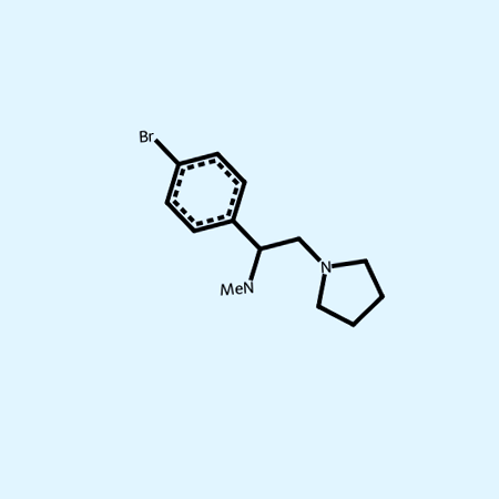 CNC(CN1CCCC1)c1ccc(Br)cc1